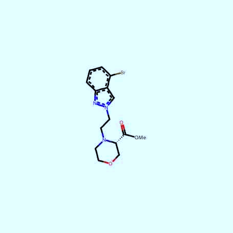 COC(=O)[C@@H]1COCCN1CCn1cc2c(Br)cccc2n1